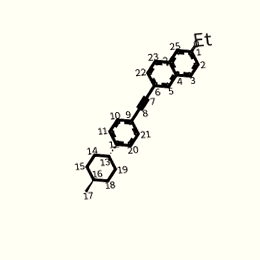 CCc1ccc2cc(C#Cc3ccc([C@H]4CC[C@H](C)CC4)cc3)ccc2c1